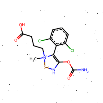 C[N+]1(CCCC(=O)O)SNC(OC(N)=O)=C1c1c(Cl)cccc1Cl